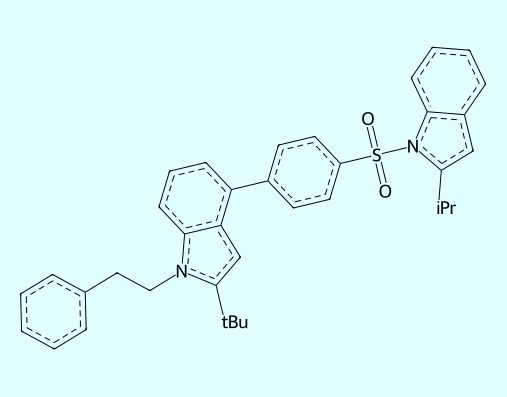 CC(C)c1cc2ccccc2n1S(=O)(=O)c1ccc(-c2cccc3c2cc(C(C)(C)C)n3CCc2ccccc2)cc1